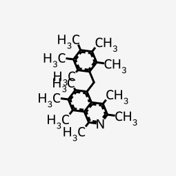 Cc1nc(C)c2c(C)c(C)c(C)c(Cc3c(C)c(C)c(C)c(C)c3C)c2c1C